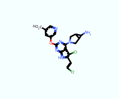 NC1C2CN(c3nc(Oc4cncc(C(=O)O)c4)nc4[nH]c(/C=C/Cl)c(Cl)c34)CC12